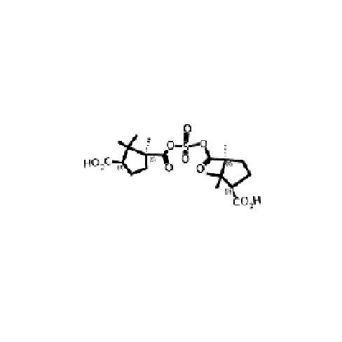 CC1(C)[C@H](C(=O)O)CC[C@]1(C)C(=O)OS(=O)(=O)OC(=O)[C@@]1(C)CC[C@@H](C(=O)O)C1(C)C